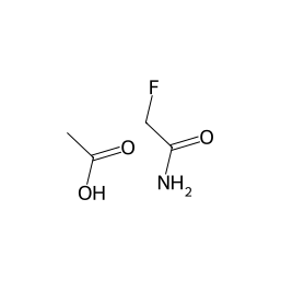 CC(=O)O.NC(=O)CF